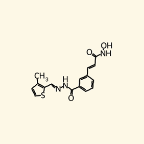 Cc1ccsc1/C=N/NC(=O)c1cccc(/C=C/C(=O)NO)c1